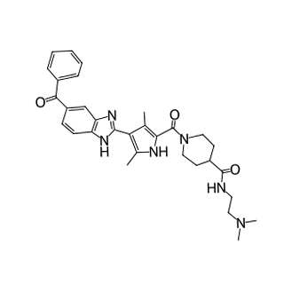 Cc1[nH]c(C(=O)N2CCC(C(=O)NCCN(C)C)CC2)c(C)c1-c1nc2cc(C(=O)c3ccccc3)ccc2[nH]1